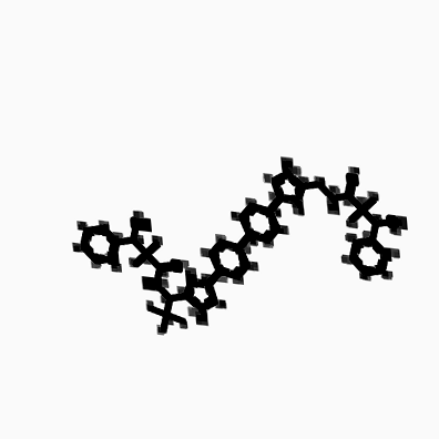 CC(C)(C)C(NC(=O)C(C)(C)C(O)c1ccccn1)c1nc(-c2ccc(-c3ccc(-c4c[nH]c(CNC(=O)C(C)(C)C(O)c5ccccn5)n4)cc3)cc2)c[nH]1